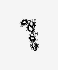 FC(F)(F)c1cc(NCc2ccc(N3CCOCC3)cc2)ccc1Oc1ccccc1